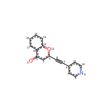 O=c1cc(C#Cc2ccncc2)oc2ccccc12